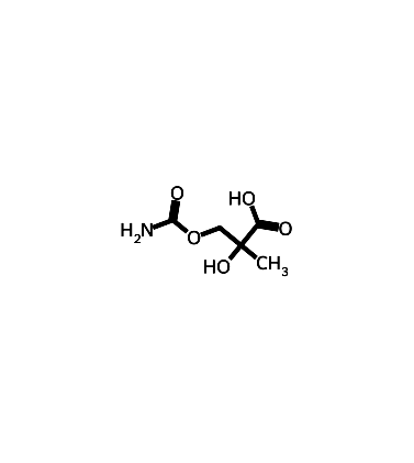 CC(O)(COC(N)=O)C(=O)O